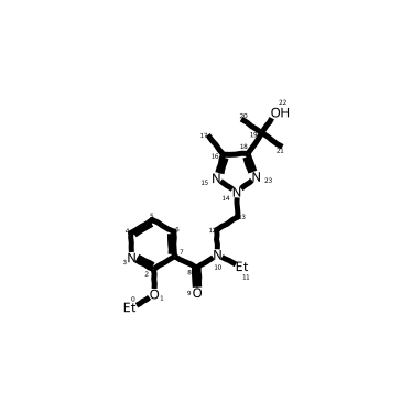 CCOc1ncccc1C(=O)N(CC)CCn1nc(C)c(C(C)(C)O)n1